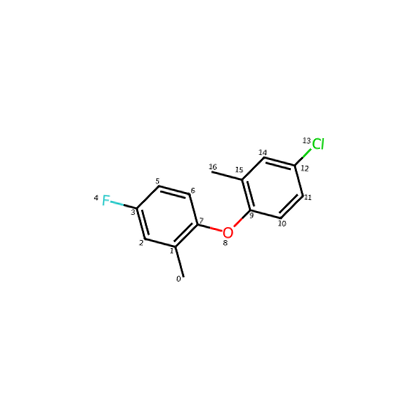 Cc1cc(F)ccc1Oc1ccc(Cl)cc1C